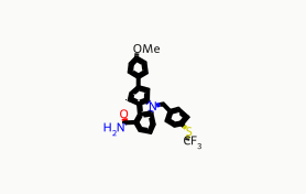 COc1ccc(-c2c[c]c3c4c(C(N)=O)cccc4n(Cc4ccc(SC(F)(F)F)cc4)c3c2)cc1